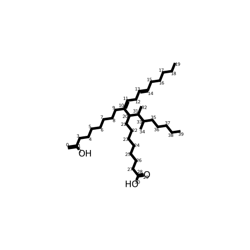 C=C(O)CCCCCCC/C(=C/C/C=C/CCCCC)C(CCCCCCCC(=O)O)C(C)C(C)CCCCC